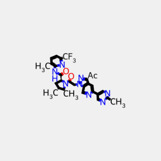 CC(=O)c1nn(CC(=O)N2[C@H](C)[C@@H](C)C[C@H]2C(=O)Nc2nc(C(F)(F)F)ccc2C)c2cnc(-c3cnc(C)nc3)cc12